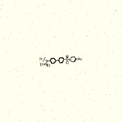 CCN(CC)C(C)c1ccc(-c2ccc(S(=O)(=O)N3CC=C(C(C)=O)CC3)cc2)cc1